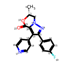 C[C@@H]1Cn2nc(-c3ccc(F)cc3)c(-c3ccncc3)c2C(=O)O1